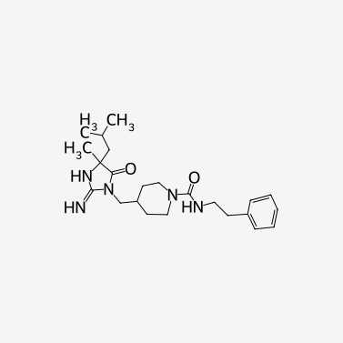 CC(C)CC1(C)NC(=N)N(CC2CCN(C(=O)NCCc3ccccc3)CC2)C1=O